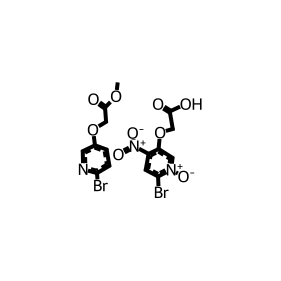 COC(=O)COc1ccc(Br)nc1.O=C(O)COc1c[n+]([O-])c(Br)cc1[N+](=O)[O-]